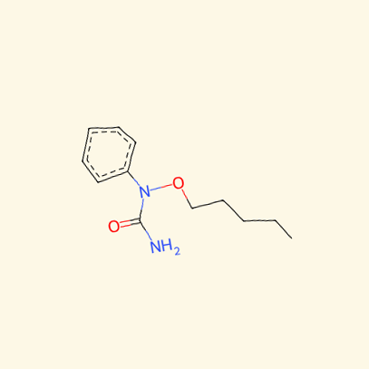 CCCCCON(C(N)=O)c1ccccc1